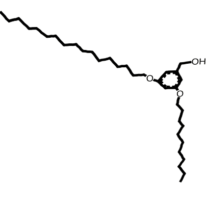 CCCCCCCCCCCCCCCCCOc1cc(CO)cc(OCCCCCCCCCCC)c1